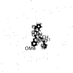 COc1ccc(C[C@H](NC(=O)[C@@H](C)NC(=O)c2ccno2)C(=O)N[C@@H](CC2CCCC2)C(=O)[C@H]2CO2)cc1